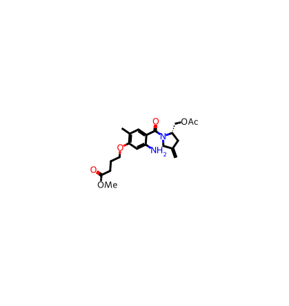 C=C1C[C@@H](COC(C)=O)N(C(=O)c2cc(C)c(OCCCC(=O)OC)cc2N)C1